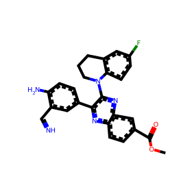 COC(=O)c1ccc2nc(-c3ccc(N)c(C=N)c3)c(N3CCCc4cc(F)ccc43)nc2c1